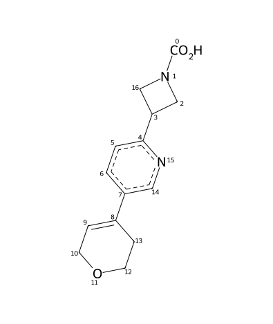 O=C(O)N1CC(c2ccc(C3=CCOCC3)cn2)C1